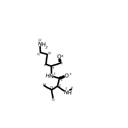 CNC(C(=O)NC(C=O)CCCN)C(C)C